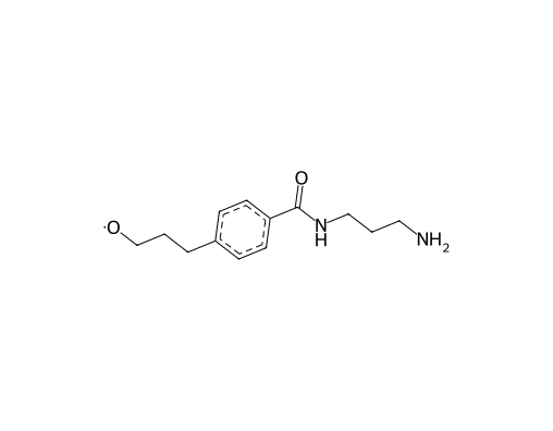 NCCCNC(=O)c1ccc(CCC[O])cc1